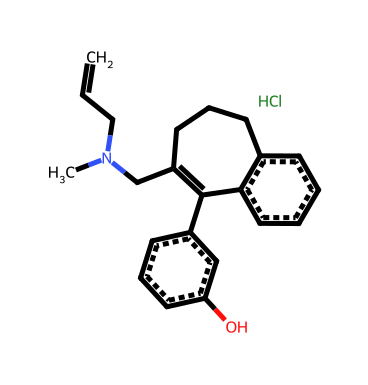 C=CCN(C)CC1=C(c2cccc(O)c2)c2ccccc2CCC1.Cl